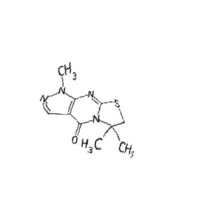 Cn1ncc2c(=O)n3c(nc21)SCC3(C)C